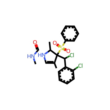 CC1=CNC(C)C1(C(Cl)c1ccccc1Cl)S(=O)(=O)c1ccccc1.CNC=O